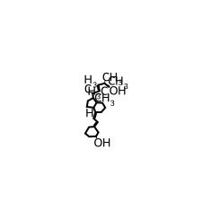 CC(/C=C/[C@H](C)C(C)(C)O)C1CC[C@H]2/C(=C/C=C3\CCC[C@H](O)C3)CCC[C@]12C